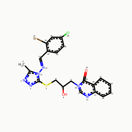 Cc1nnc(SCC(O)Cn2cnc3ccccc3c2=O)n1N=Cc1ccc(Cl)cc1Br